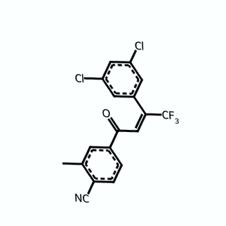 Cc1cc(C(=O)C=C(c2cc(Cl)cc(Cl)c2)C(F)(F)F)ccc1C#N